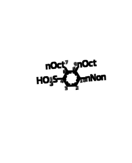 CCCCCCCCCc1ccc(S(=O)(=O)O)c(CCCCCCCC)c1CCCCCCCC